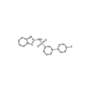 O=S(=O)(Nc1nc2ccccc2s1)c1cccc(-c2ccc(F)cc2)c1